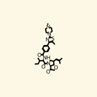 CCC(C)C(NC(=O)c1ccc(-c2nc(N3CCN(C)CC3)sc2C)cc1)C(=O)N1CC(C=C(C)C)C2OCC(=O)C21